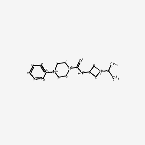 CC(C)N1CC(NC(=O)N2CCN(c3ccccc3)CC2)C1